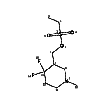 CCS(=O)(=O)OCC1CN(C)CCC1(F)F